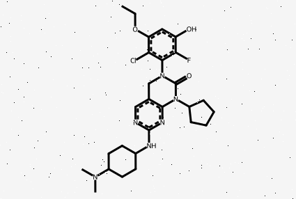 CCOc1cc(O)c(F)c(N2Cc3cnc(NC4CCC(N(C)C)CC4)nc3N(C3CCCC3)C2=O)c1Cl